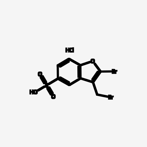 Cl.O=S(=O)(O)c1ccc2oc(Br)c(CBr)c2c1